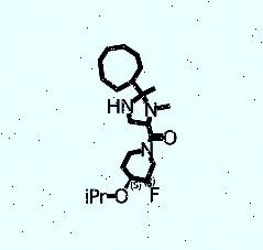 CC(C)O[C@H]1CCN(C(=O)C2CNC(C)(C3CCCCCCC3)N2C)C[C@H]1F